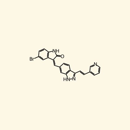 O=C1Nc2ccc(Br)cc2C1=Cc1ccc2c(/C=C/c3cccnc3)n[nH]c2c1